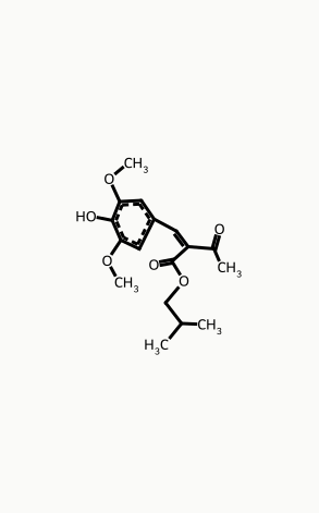 COc1cc(C=C(C(C)=O)C(=O)OCC(C)C)cc(OC)c1O